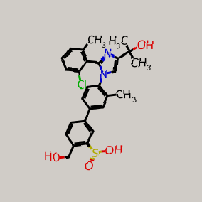 Cc1cc(-c2ccc(CO)c(S(=O)O)c2)ccc1-n1cc(C(C)(C)O)nc1-c1c(C)cccc1Cl